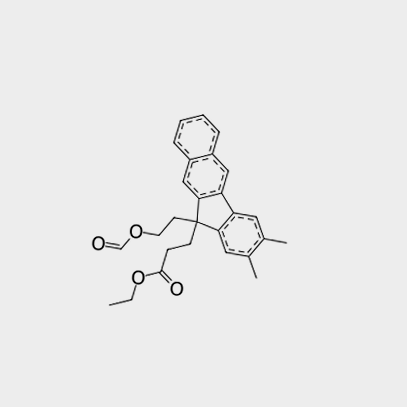 CCOC(=O)CCC1(CCOC=O)c2cc(C)c(C)cc2-c2cc3ccccc3cc21